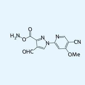 COc1cc(-n2cc(C=O)c(C(=O)ON)n2)ncc1C#N